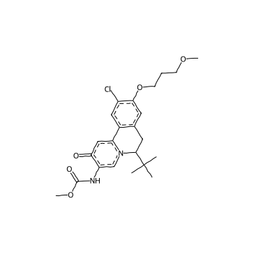 COCCCOc1cc2c(cc1Cl)-c1cc(=O)c(NC(=O)OC)cn1C(C(C)(C)C)C2